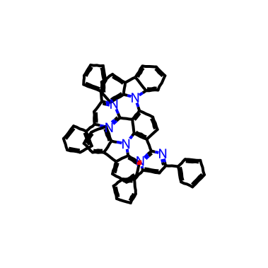 c1ccc(-c2cc(-c3ccccc3)nc(-c3ccc(-n4c5ccccc5c5ccccc54)c(-c4nc(-c5ccccc5)cc(-c5ccccc5)n4)c3-n3c4ccccc4c4ccccc43)n2)cc1